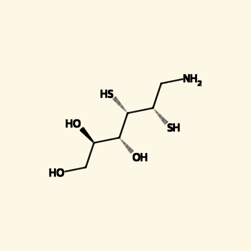 NC[C@H](S)[C@@H](S)[C@H](O)[C@H](O)CO